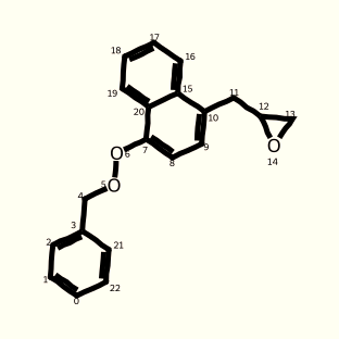 c1ccc(COOc2ccc(CC3CO3)c3ccccc23)cc1